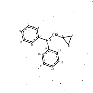 c1ccc(P(OC2CC2)c2ccccc2)cc1